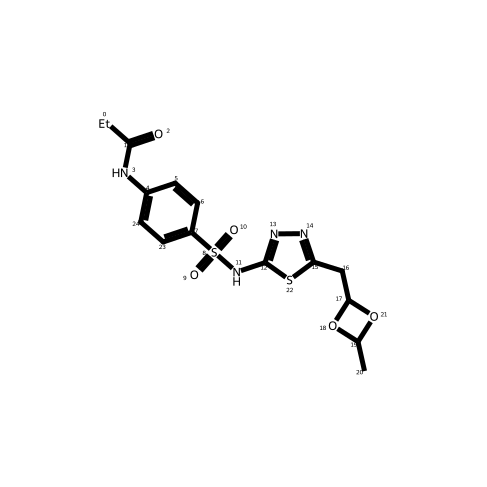 CCC(=O)Nc1ccc(S(=O)(=O)Nc2nnc(CC3OC(C)O3)s2)cc1